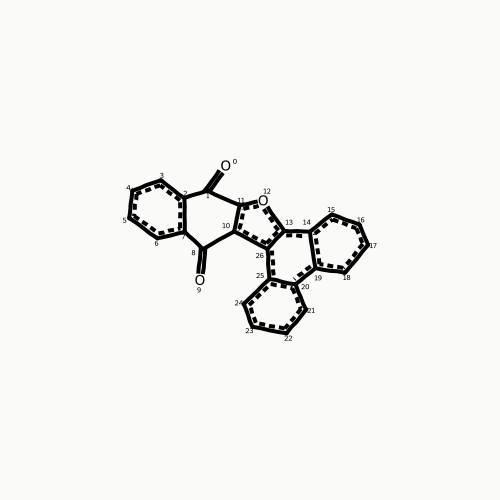 O=C1c2ccccc2C(=O)c2c1oc1c3ccccc3c3ccccc3c21